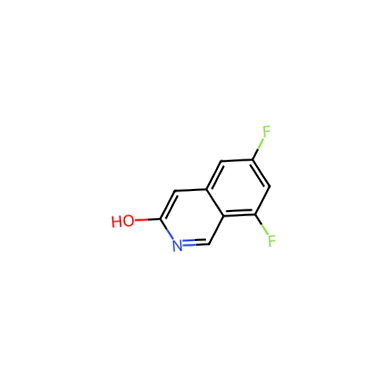 Oc1cc2cc(F)cc(F)c2cn1